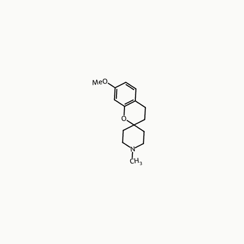 COc1ccc2c(c1)OC1(CC2)CCN(C)CC1